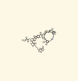 COc1cc2cc(c1Cl)N(C)C(=O)C[C@H](OC(=O)Nc1ccc(NC(=O)[C@H](CCCNC(N)=O)NC(=O)[C@@H](NC(=O)CCCCC(=O)ON3C(=O)CCC3=O)C(C)C)cc1C)[C@]1(C)O[C@H]1[C@H](C)[C@@H]1C[C@@](O)(NC(=O)O1)[C@H](OC)/C=C/C=C(\C)C2